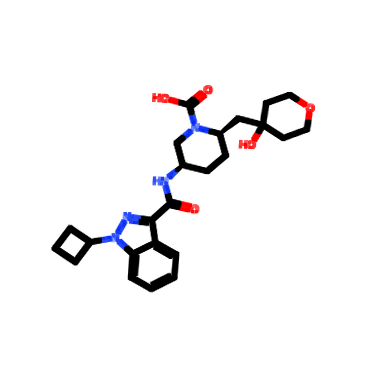 O=C(N[C@@H]1CC[C@H](CC2(O)CCOCC2)N(C(=O)O)C1)c1nn(C2CCC2)c2ccccc12